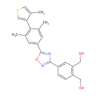 Cc1cscc1-c1c(C)cc(-c2nc(-c3ccc(CO)c(CO)c3)no2)cc1C